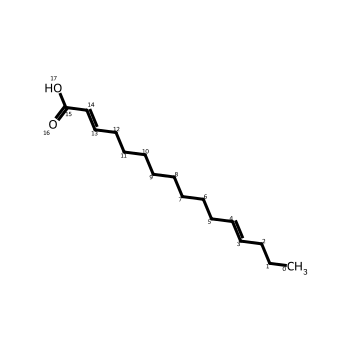 CCCC=CCCCCCCCCC=CC(=O)O